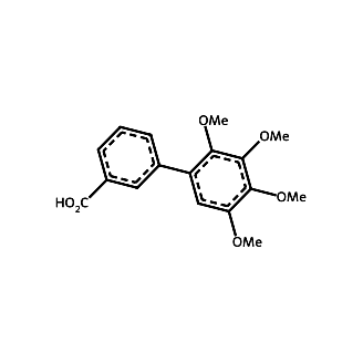 COc1cc(-c2cccc(C(=O)O)c2)c(OC)c(OC)c1OC